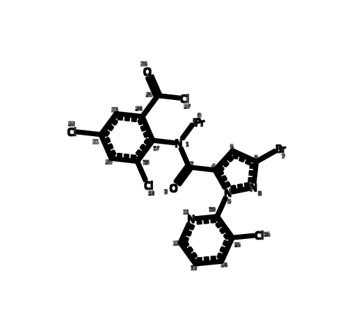 CC(C)N(C(=O)c1cc(Br)nn1-c1ncccc1Cl)c1c(Cl)cc(Cl)cc1C(=O)Cl